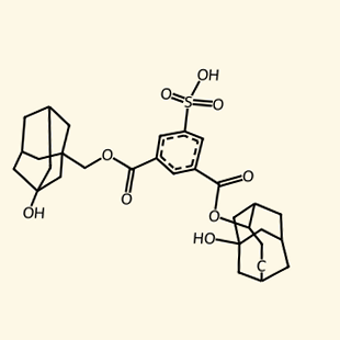 O=C(OCC12CC3CC(CC(O)(C3)C1)C2)c1cc(C(=O)OC2CCC3CC4CC2CC(O)(C3)C4)cc(S(=O)(=O)O)c1